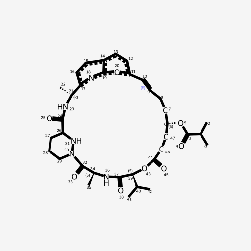 CC(C)C(=O)O[C@H]1CC/C=C/c2ccc3ccc(nc3c2)[C@@H](C)NC(=O)C2CCCN(N2)C(=O)[C@H](C)NC(=O)[C@H](C(C)C)OC(=O)CC1